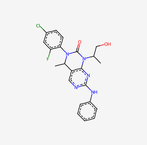 CC(CO)N1C(=O)N(c2ccc(Cl)cc2F)C(C)c2cnc(Nc3ccccc3)nc21